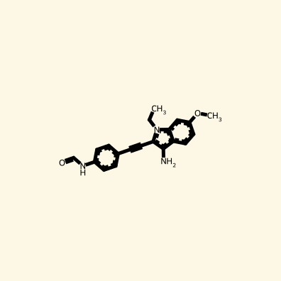 CCn1c(C#Cc2ccc(NC=O)cc2)c(N)c2ccc(OC)cc21